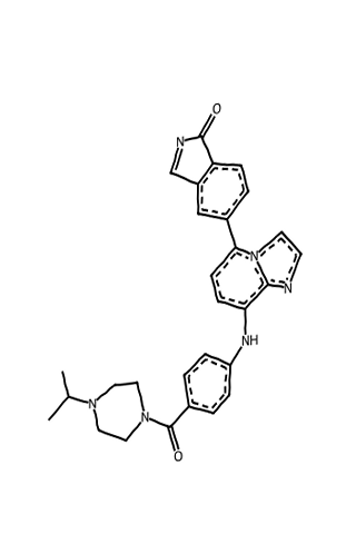 CC(C)N1CCN(C(=O)c2ccc(Nc3ccc(-c4ccc5c(c4)C=NC5=O)n4ccnc34)cc2)CC1